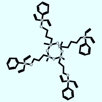 C=C[Si](C=C)(CCCC[Si]1(C)O[Si](C)(CCCO[Si](C=C)(C=C)c2ccccc2)O[Si](C)(CCCO[Si](C=C)(C=C)c2ccccc2)O[Si](C)(CCCO[Si](C=C)(C=C)c2ccccc2)O1)c1ccccc1